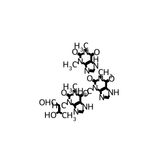 CC(O)CC=O.Cn1c(=O)c2[nH]cnc2n(C)c1=O.Cn1c(=O)c2[nH]cnc2n(C)c1=O.Cn1c(=O)c2[nH]cnc2n(C)c1=O